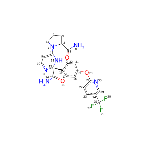 NC(=O)C1CCCN1C1=CC=N[C@](C(N)=O)(c2ccc(Oc3ccc(C(F)(F)F)cn3)cc2)N1